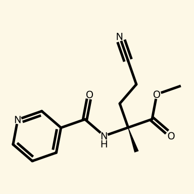 COC(=O)[C@@](C)(CCC#N)NC(=O)c1cccnc1